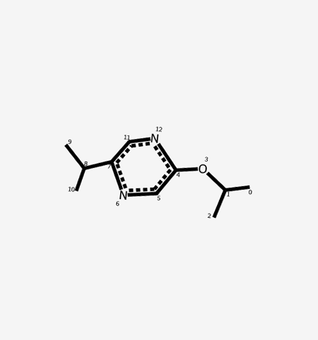 CC(C)Oc1cnc(C(C)C)cn1